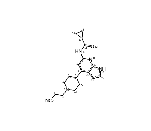 N#CCCN1CC=C(c2cc(NC(=O)C3CC3)nc3[nH]ccc23)CC1